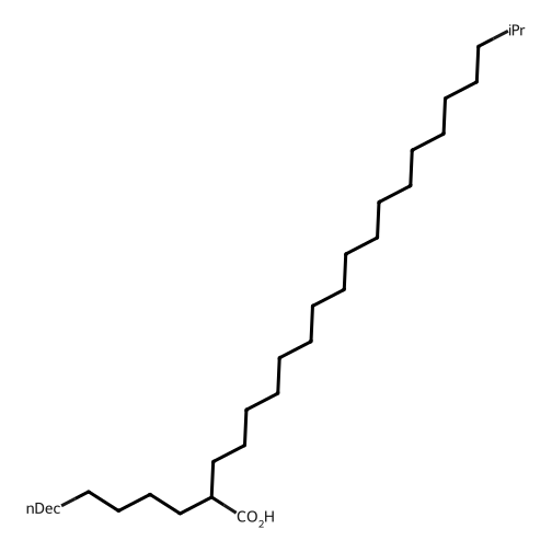 CCCCCCCCCCCCCCC(CCCCCCCCCCCCCCCCCC(C)C)C(=O)O